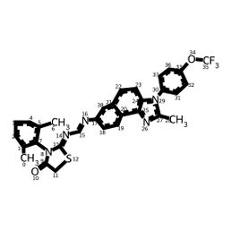 Cc1cccc(C)c1N1C(=O)CS/C1=N\C=N\c1ccc2c(ccc3c2nc(C)n3-c2ccc(OC(F)(F)F)cc2)c1